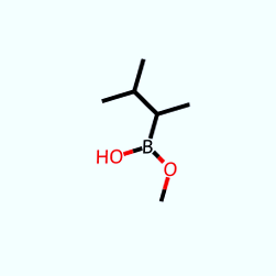 COB(O)C(C)C(C)C